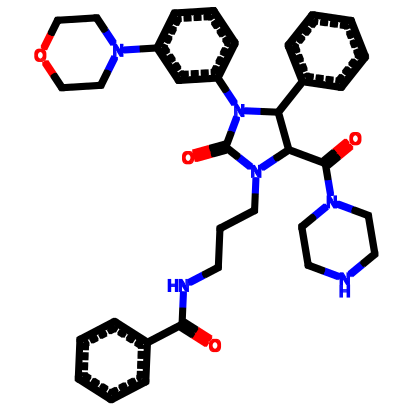 O=C(NCCCN1C(=O)N(c2cccc(N3CCOCC3)c2)C(c2ccccc2)C1C(=O)N1CCNCC1)c1ccccc1